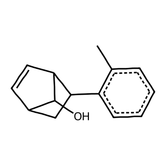 Cc1ccccc1C1CC2C=CC1C2O